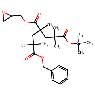 CCC(C)(CC(C)(CC(C)(C)C(=O)O[Si](C)(C)C)C(=O)OCC1CO1)C(=O)OCc1ccccc1